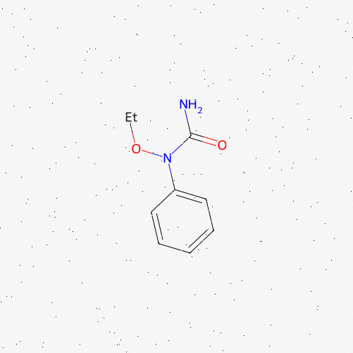 CCON(C(N)=O)c1ccccc1